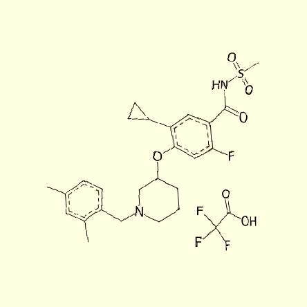 Cc1ccc(CN2CCCC(Oc3cc(F)c(C(=O)NS(C)(=O)=O)cc3C3CC3)C2)c(C)c1.O=C(O)C(F)(F)F